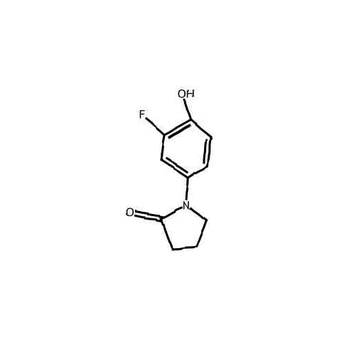 O=C1CCCN1c1ccc(O)c(F)c1